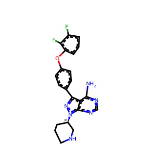 Nc1ncnc2c1c(-c1ccc(Oc3cccc(F)c3F)cc1)nn2[C@@H]1CCCNC1